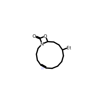 CCC1CCCC/C=C\CCCN2C(=O)OC2CC1